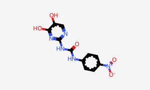 O=C(Nc1ccc([N+](=O)[O-])cc1)Nc1ncc(O)c(O)n1